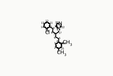 Cc1ccc(CCC(CCc2ccccc2Cl)Cn2ccnc2)c(C)c1